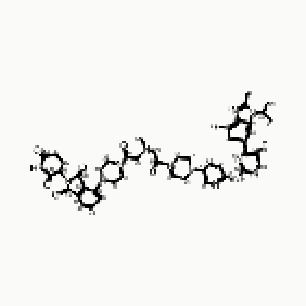 Cc1nc2c(F)cc(-c3nc(Nc4ccc(N5CCN(C(=O)CN(C)CC(=O)N6CCN(c7cccc8c7C(=O)N(C7CCC(=O)NC7=O)C8=O)CC6)CC5)cn4)ncc3F)cc2n1C(C)C